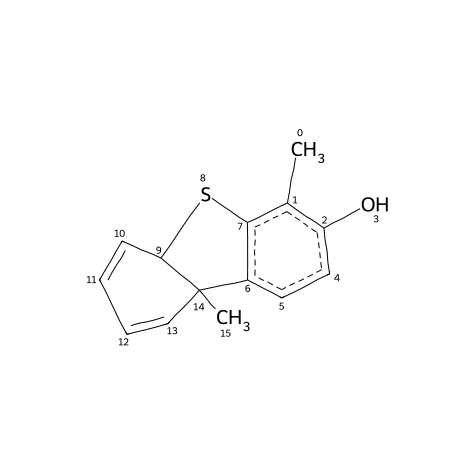 Cc1c(O)ccc2c1SC1C=CC=CC21C